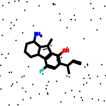 C=CC(C)c1cc(F)c2c(c1O)C(C)C1C(N)CCCC21